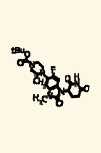 C[C@H]1CN(C(=O)OC(C)(C)C)CCN1c1cc2c(cc1F)n(C1CCC(=O)NC1=O)c(=O)n2C